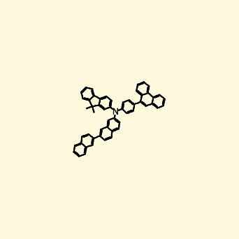 CC1(C)c2ccccc2-c2ccc(N(c3ccc(-c4cc5ccccc5c5ccccc45)cc3)c3ccc4ccc(-c5ccc6ccccc6c5)cc4c3)cc21